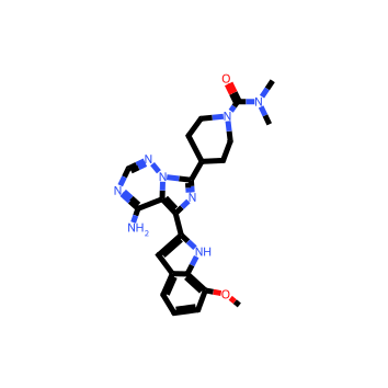 COc1cccc2cc(-c3nc(C4CCN(C(=O)N(C)C)CC4)n4ncnc(N)c34)[nH]c12